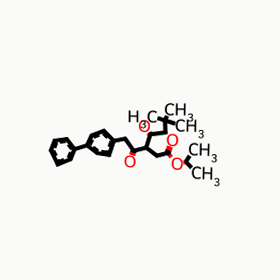 CC(C)OC(=O)CC(C(=O)Cc1ccc(-c2ccccc2)cc1)C(=O)CC(C)(C)C